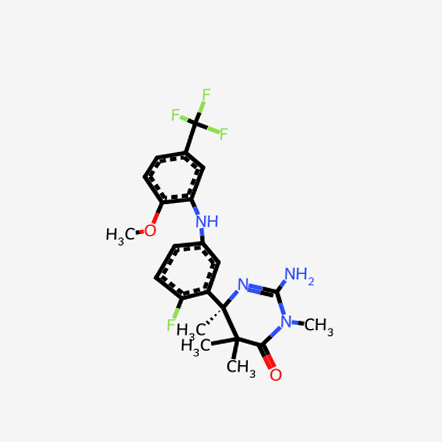 COc1ccc(C(F)(F)F)cc1Nc1ccc(F)c([C@@]2(C)N=C(N)N(C)C(=O)C2(C)C)c1